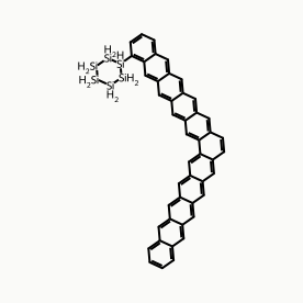 c1ccc2cc3cc4cc5cc6c(ccc7cc8cc9cc%10cc%11cccc([SiH]%12[SiH2][SiH2][SiH2][SiH2][SiH2]%12)c%11cc%10cc9cc8cc76)cc5cc4cc3cc2c1